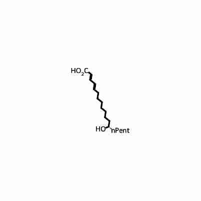 CCCCC[C@H](O)CCCCCCCC=CC=CC(=O)O